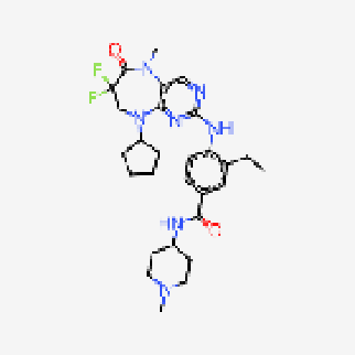 CCc1cc(C(=O)NC2CCN(C)CC2)ccc1Nc1ncc2c(n1)N(C1CCCC1)CC(F)(F)C(=O)N2C